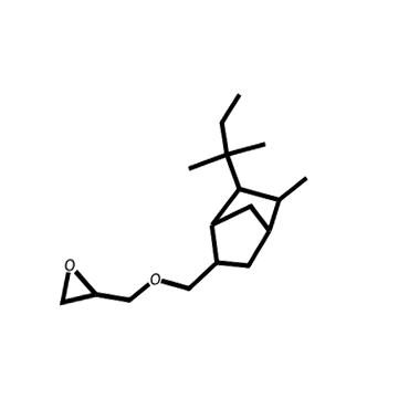 CCC(C)(C)C1C(C)C2CC(COCC3CO3)C1C2